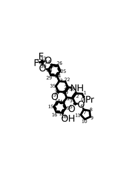 CC(C)CC1=C(C(=O)OC2CCCC2)C(c2cccc(O)c2)C2=C(CC(c3ccc4c(c3)OC(F)(F)O4)CC2=O)N1